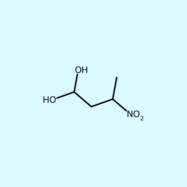 CC(CC(O)O)[N+](=O)[O-]